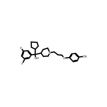 N#Cc1ccc(OCCCN2CCC(C(O)(c3cc(F)cc(F)c3)C3CCCC3)CC2)cc1